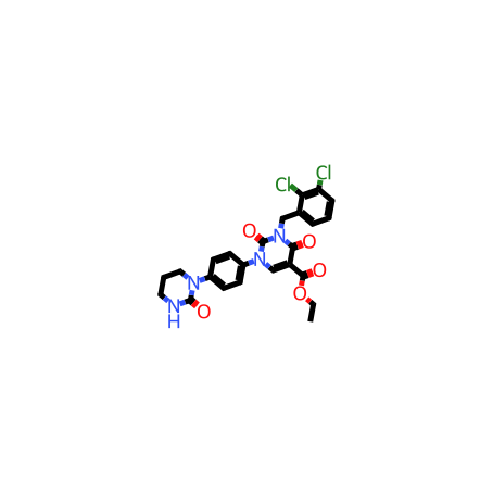 CCOC(=O)c1cn(-c2ccc(N3CCCNC3=O)cc2)c(=O)n(Cc2cccc(Cl)c2Cl)c1=O